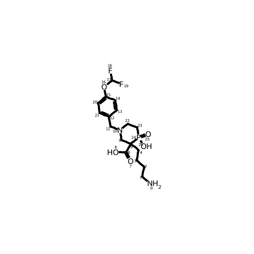 NCCCCC1(C(=O)O)CN(Cc2ccc(OC(F)F)cc2)CCP1(=O)O